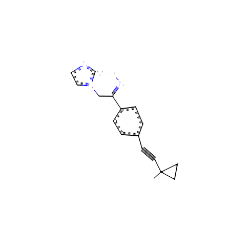 CO/N=C(\Cn1ccnc1)c1ccc(C#CC2(C)CC2)cc1